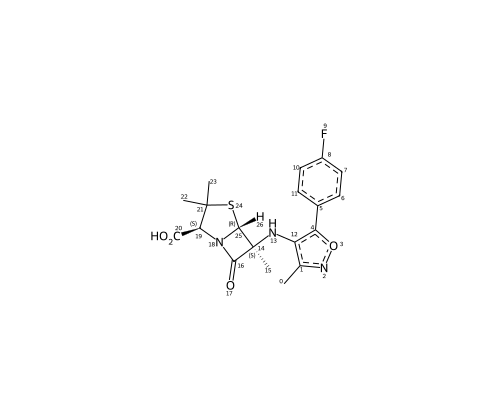 Cc1noc(-c2ccc(F)cc2)c1N[C@@]1(C)C(=O)N2[C@@H](C(=O)O)C(C)(C)S[C@@H]21